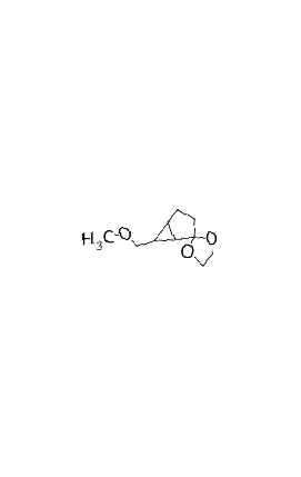 COCC1C2CCC3(OCCO3)C21